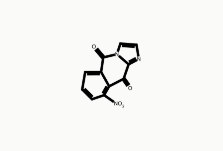 O=C1c2c(cccc2[N+](=O)[O-])C(=O)n2ccnc21